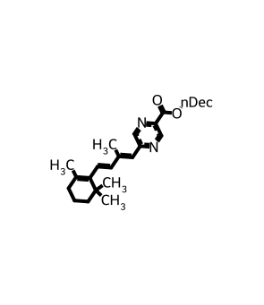 CCCCCCCCCCOC(=O)c1cnc(/C=C(\C)C=CC2=C(C)CCCC2(C)C)cn1